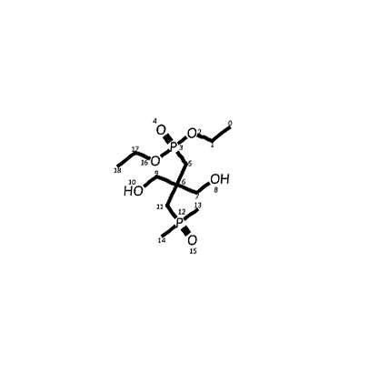 CCOP(=O)(CC(CO)(CO)CP(C)(C)=O)OCC